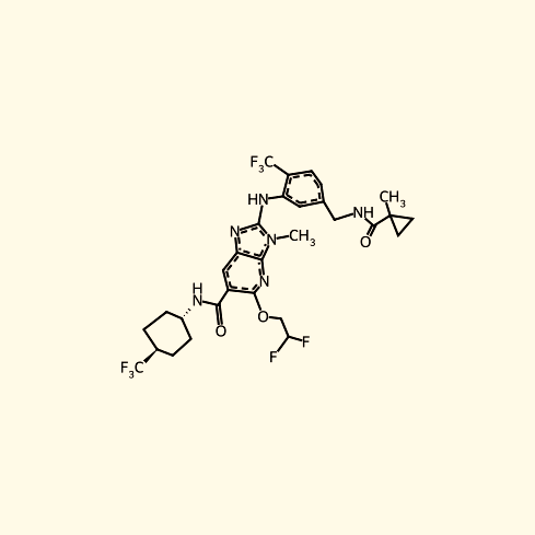 Cn1c(Nc2cc(CNC(=O)C3(C)CC3)ccc2C(F)(F)F)nc2cc(C(=O)N[C@H]3CC[C@H](C(F)(F)F)CC3)c(OCC(F)F)nc21